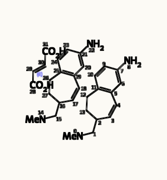 CNCC1C=Cc2cc(N)ccc2CC1.CNCC1C=Cc2cc(N)ccc2CC1.O=C(O)/C=C/C(=O)O